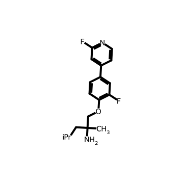 CC(C)CC(C)(N)COc1ccc(-c2ccnc(F)c2)cc1F